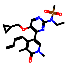 C=C/C=C\c1c(-c2nc(N(CC)S(C)(=O)=O)ncc2OCC2CC2)cn(C)c(=O)c1C